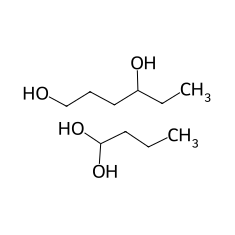 CCC(O)CCCO.CCCC(O)O